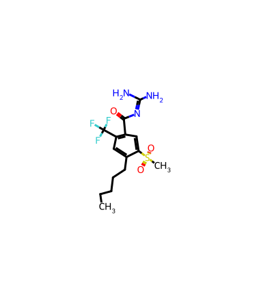 CCCCCc1cc(C(F)(F)F)c(C(=O)N=C(N)N)cc1S(C)(=O)=O